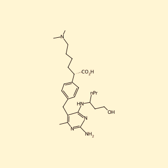 CCCC(CCO)Nc1nc(N)nc(C)c1Cc1ccc([C@H](CCCCN(C)C)C(=O)O)cc1